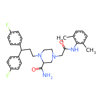 Cc1cccc(C)c1NC(=O)CN1CCN(CCC(c2ccc(F)cc2)c2ccc(F)cc2)C(C(N)=O)C1